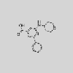 O=C(O)c1cc(NC2CCOCC2)nc(-c2ccccc2)n1